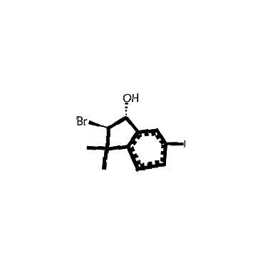 CC1(C)c2ccc(I)cc2[C@@H](O)[C@@H]1Br